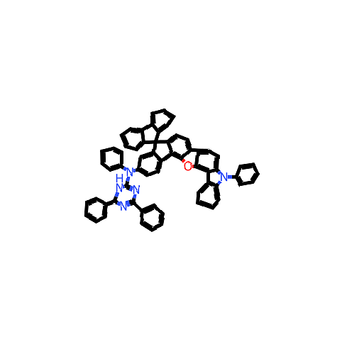 c1ccc(C2=NC(c3ccccc3)NC(N(c3ccccc3)c3ccc4c(c3)C3(c5ccccc5-c5ccccc53)c3ccc5c(oc6c5ccc5c6c6ccccc6n5-c5ccccc5)c3-4)=N2)cc1